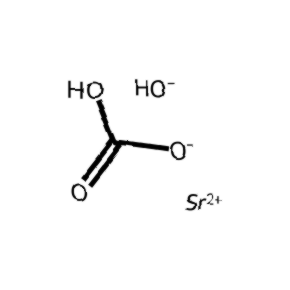 O=C([O-])O.[OH-].[Sr+2]